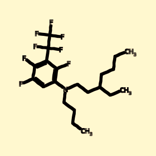 CCCCC(CC)CCN(CCCC)c1cc(F)c(F)c(C(F)(F)C(F)(F)F)c1F